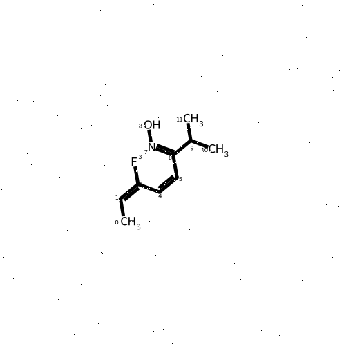 C\C=C(F)/C=C\C(=N\O)C(C)C